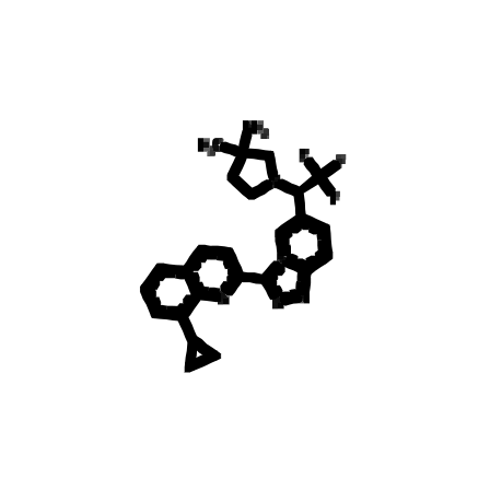 CC1(N)CCN([C@H](c2ccc3nnc(-c4ccc5cccc(C6CC6)c5n4)n3c2)C(F)(F)F)C1